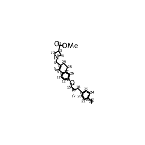 COC(=O)C1CN(CC2=C(C)c3ccc(OC[C@@H](C)Cc4ccc(F)cc4)cc3CC2)C1